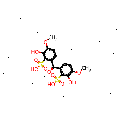 COc1ccc(C(=O)c2ccc(OC)c(O)c2S(=O)(=O)O)c(S(=O)(=O)O)c1O